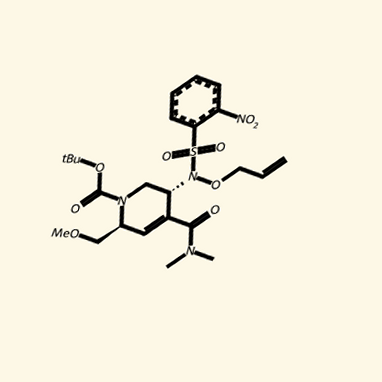 C=CCON([C@H]1CN(C(=O)OC(C)(C)C)[C@H](COC)C=C1C(=O)N(C)C)S(=O)(=O)c1ccccc1[N+](=O)[O-]